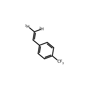 [2H]C([2H])=Cc1ccc(C(F)(F)F)cc1